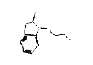 CC1Cc2ccccc2N1SCCS